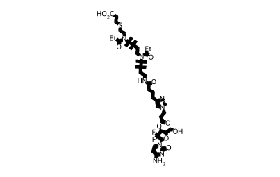 CCC(=O)N(CCC(C)(C)C(C)(C)N(CCSCCC(=O)O)C(=O)CC)C(C)(C)C(C)(C)CCNC(=O)CCCc1cn(CCC(=O)O[C@H]2C(CO)O[C@@H](n3ccc(N)nc3=O)C2(F)F)nn1